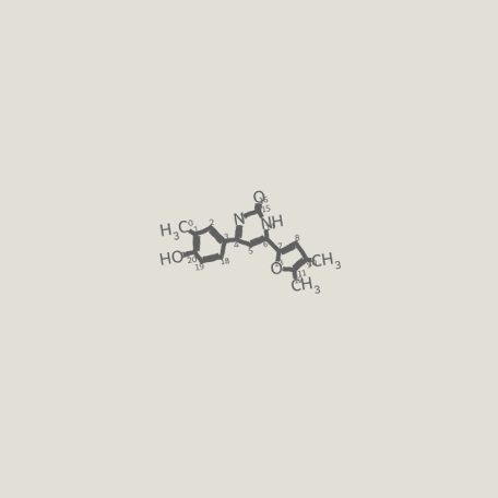 Cc1cc(-c2cc(-c3cc(C)c(C)o3)[nH]c(=O)n2)ccc1O